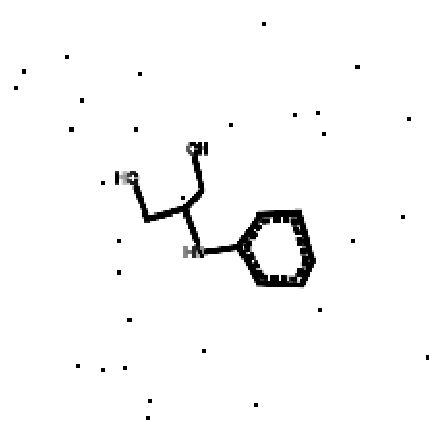 OCC(CO)Nc1ccccc1